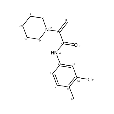 C=C(C(=O)Nc1ccc(C)c(Cl)c1)N1CCCCC1